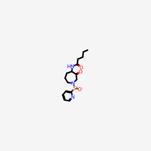 CCCCC(=O)NC1CCCN([S+]([O-])c2ccccn2)CC1=O